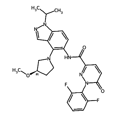 CO[C@@H]1CCN(c2c(NC(=O)c3ccc(=O)n(-c4c(F)cccc4F)n3)ccc3c2cnn3C(C)C)C1